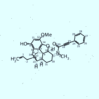 C=CCN1CC[C@]23c4c5c(O)cc(OC)c4O[C@H]2[C@H](N(C)C(=O)C#Cc2ccccc2)CC[C@H]3[C@H]1C5